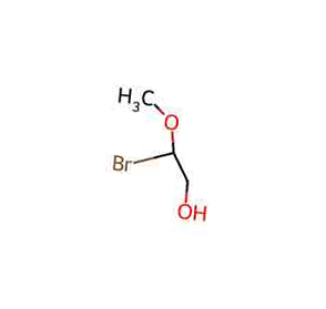 COC(Br)CO